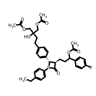 CCc1ccc(N2C(=O)[C@H](CCC(OC(C)=O)c3ccc(F)cc3)[C@H]2c2ccc(CCC(O)(COC(C)=O)COC(C)=O)cc2)cc1